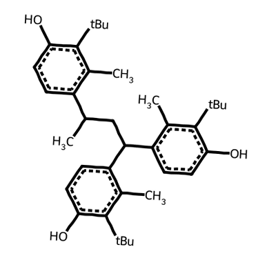 Cc1c(C(C)CC(c2ccc(O)c(C(C)(C)C)c2C)c2ccc(O)c(C(C)(C)C)c2C)ccc(O)c1C(C)(C)C